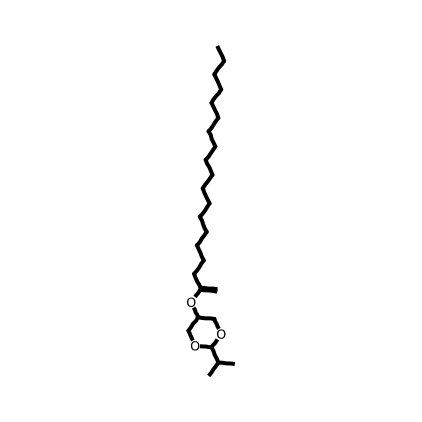 C=C(CCCCCCCCCCCCCCCCC)OC1COC(C(C)C)OC1